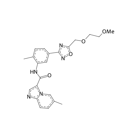 COCCOCc1nc(-c2ccc(C)c(NC(=O)c3cnc4ccc(C)cn34)c2)no1